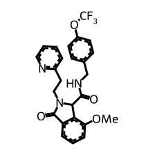 COc1cccc2c1C(C(=O)NCc1ccc(OC(F)(F)F)cc1)N(CCc1ccccn1)C2=O